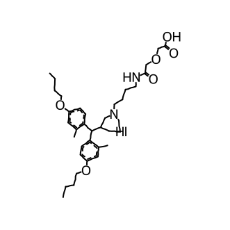 CCCCOc1ccc(C(c2ccc(OCCCC)cc2C)C2CCCN(CCCCNC(=O)COCC(=O)O)C2)c(C)c1.I